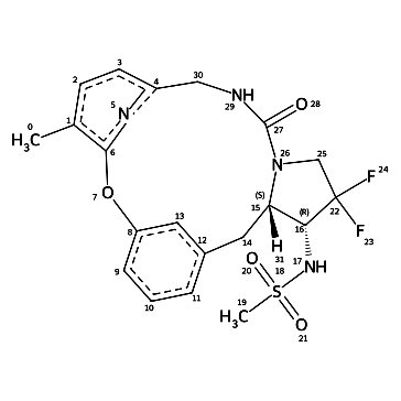 Cc1ccc2nc1Oc1cccc(c1)C[C@H]1[C@@H](NS(C)(=O)=O)C(F)(F)CN1C(=O)NC2